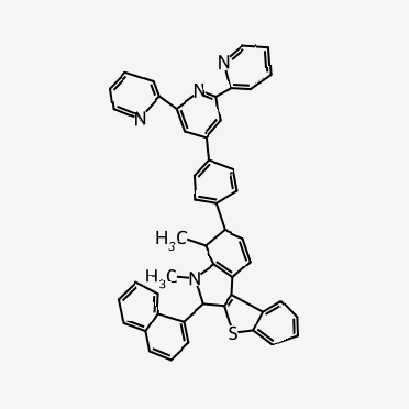 CC1C2=C(C=CC1c1ccc(-c3cc(-c4ccccn4)nc(-c4ccccn4)c3)cc1)c1c(sc3ccccc13)C(c1cccc3ccccc13)N2C